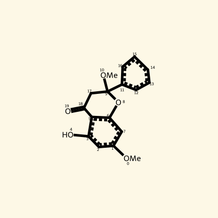 COc1cc(O)c2c(c1)OC(OC)(c1ccccc1)CC2=O